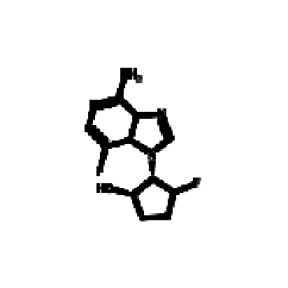 NC1=NC=C(F)C2C1N=CN2[C@@H]1C(F)CC[C@H]1O